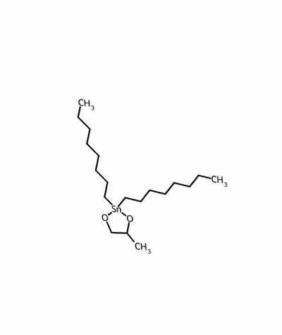 CCCCCCC[CH2][Sn]1([CH2]CCCCCCC)[O]CC(C)[O]1